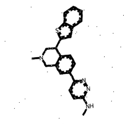 CNc1ccc(-c2ccc3c(c2)CN(C)CC3c2cc3ccccc3s2)nn1